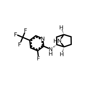 Fc1cc(C(F)(F)F)cnc1N[C@@H]1C[C@H]2CC[C@@H]1N2